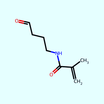 C=C(C)C(=O)NCCCC=O